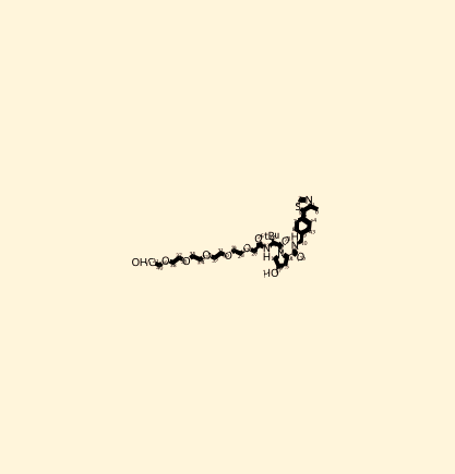 Cc1ncsc1-c1ccc(CNC(=O)[C@@H]2C[C@@H](O)CN2C(=O)[C@@H](NC(=O)COCCOCCOCCOCCOCC=O)C(C)(C)C)cc1